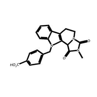 CN1C(=O)C2c3c(c4ccccc4n3Cc3ccc(C(=O)O)cc3)CCN2C1=O